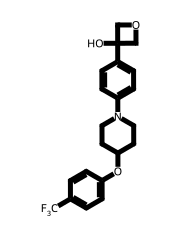 OC1(c2ccc(N3CCC(Oc4ccc(C(F)(F)F)cc4)CC3)cc2)COC1